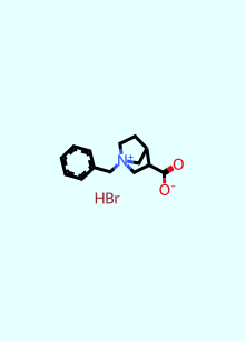 Br.O=C([O-])C1C[N+]2(Cc3ccccc3)CCC1C2